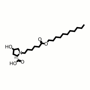 CCCCCCCCCCCOC(=O)CCCCCN1CC(O)C[C@H]1C(=O)O